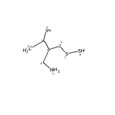 CC(C)C(C)C(CN)SSS